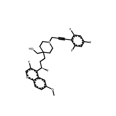 COc1ccc2ncc(F)c([C@H](F)CCC3(CO)CCN(CC#Cc4c(F)cc(F)cc4F)CC3)c2c1